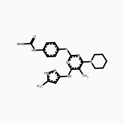 CNC(=O)Nc1ccc(Sc2nc(Nc3cc(C)[nH]n3)c(C)c(N3CCCCC3)n2)cc1